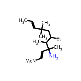 CC=CC(C)(C)CC(CC)C(C)C(C)(N)C=CNC